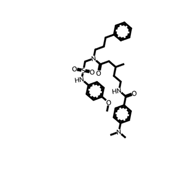 COc1ccc(NS(=O)(=O)CN(CCCc2ccccc2)C(=O)CC(C)CCNC(=O)c2ccc(N(C)C)cc2)cc1